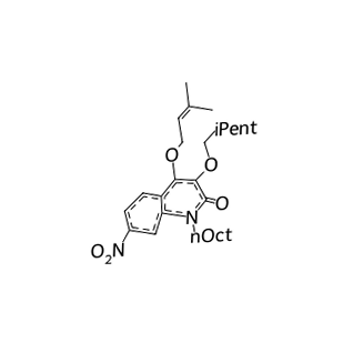 CCCCCCCCn1c(=O)c(OCC(C)CCC)c(OCC=C(C)C)c2ccc([N+](=O)[O-])cc21